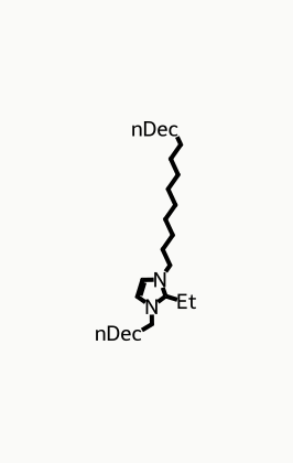 CCCCCCCCCCCCCCCCCCCN1C=CN(CCCCCCCCCCC)C1CC